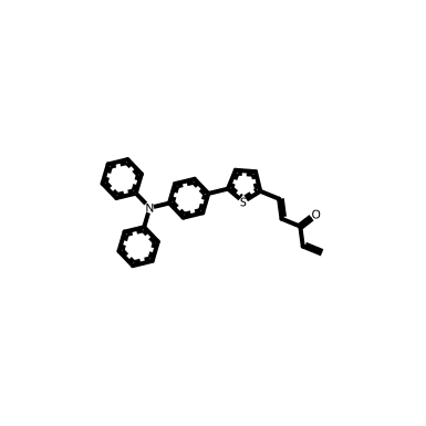 C=CC(=O)C=Cc1ccc(-c2ccc(N(c3ccccc3)c3ccccc3)cc2)s1